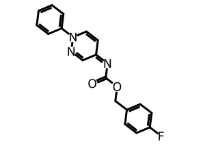 O=C(N=c1ccn(-c2ccccc2)nc1)OCc1ccc(F)cc1